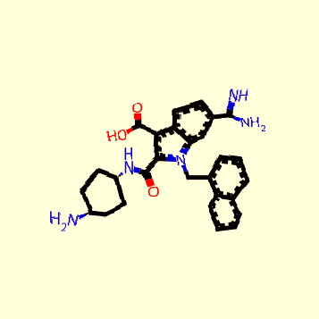 N=C(N)c1ccc2c(C(=O)O)c(C(=O)N[C@H]3CC[C@H](N)CC3)n(Cc3cccc4ccccc34)c2c1